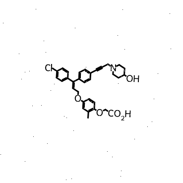 Cc1cc(OCC=C(c2ccc(Cl)cc2)c2ccc(C#CCN3CCC(O)CC3)cc2)ccc1OCC(=O)O